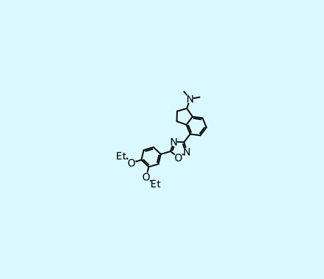 CCOc1ccc(-c2nc(-c3cccc4c3CCC4N(C)C)no2)cc1OCC